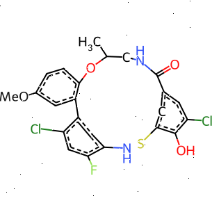 COc1ccc2c(c1)-c1cc(c(F)cc1Cl)NSc1cc(cc(Cl)c1O)C(=O)NCC(C)O2